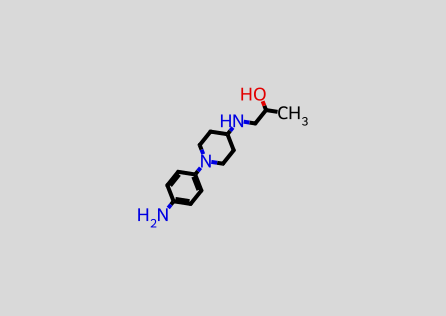 CC(O)CNC1CCN(c2ccc(N)cc2)CC1